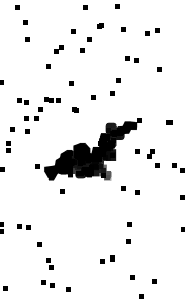 CCCCOC(=O)N1CC=C(c2cc3c(-c4cccc(-n5ccc6cc(C7CC7)cc(F)c6c5=O)c4COC(C)=O)nc(N)nc3[nH]2)CC1